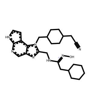 N#CCC1CCC(Cn2c(CN/C(CC3CCCCC3)=N/O)nc3cnc4[nH]ccc4c32)CC1